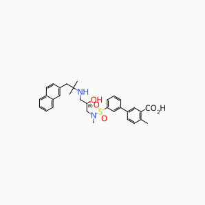 Cc1ccc(-c2cccc(S(=O)(=O)N(C)C[C@H](O)CNC(C)(C)Cc3ccc4ccccc4c3)c2)cc1C(=O)O